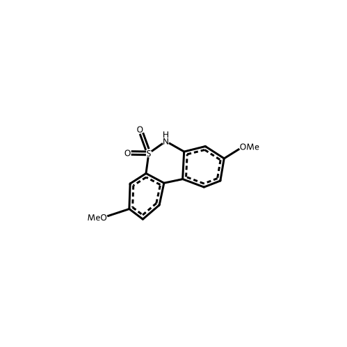 COc1ccc2c(c1)NS(=O)(=O)c1cc(OC)ccc1-2